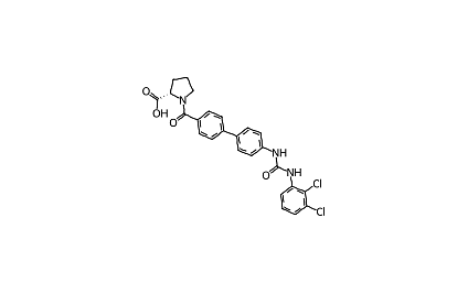 O=C(Nc1ccc(-c2ccc(C(=O)N3CCC[C@H]3C(=O)O)cc2)cc1)Nc1cccc(Cl)c1Cl